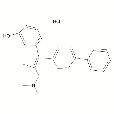 C/C(CN(C)C)=C(/c1ccc(-c2ccccc2)cc1)c1cccc(O)c1.Cl